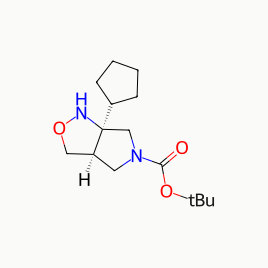 CC(C)(C)OC(=O)N1C[C@H]2CON[C@@]2(C2CCCC2)C1